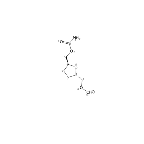 NC(=O)OC[C@@H]1CC[C@@H](COC=O)O1